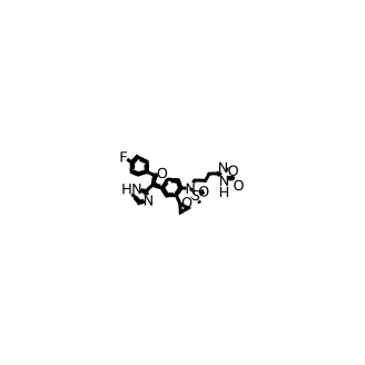 CS(=O)(=O)N(CCCc1noc(=O)[nH]1)c1cc2oc(-c3ccc(F)cc3)c(-c3ncc[nH]3)c2cc1C1CC1